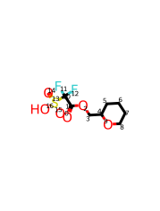 O=C(OCC1CCCCO1)C(F)(F)S(=O)(=O)O